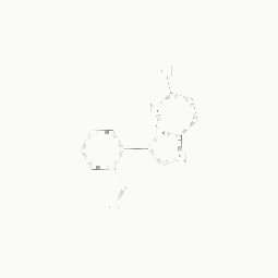 O=Cc1ccccc1-c1cnc2ccc(Cl)nn12